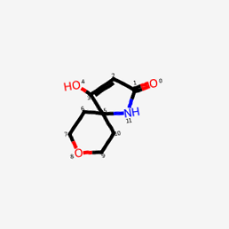 O=C1C=C(O)C2(CCOCC2)N1